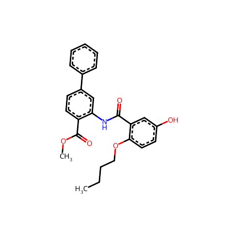 CCCCOc1ccc(O)cc1C(=O)Nc1cc(-c2ccccc2)ccc1C(=O)OC